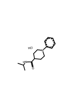 CC(C)NC(=O)C1CCN(c2ccccc2)CC1.Cl